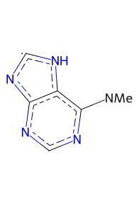 CNc1ncnc2n[c][nH]c12